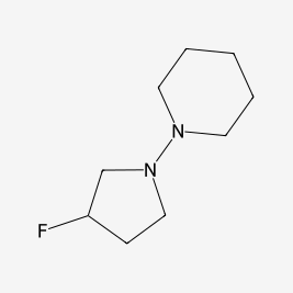 FC1CCN(N2CCCCC2)C1